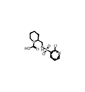 O=C(O)N1CCCCC1CNS(=O)(=O)c1cccnc1Cl